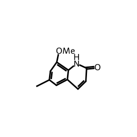 COc1cc(C)cc2ccc(=O)[nH]c12